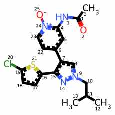 CC(=O)Nc1cc(-c2cn(CC(C)C)nc2-c2ccc(Cl)s2)cc[n+]1[O-]